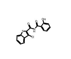 O=C(NC(=O)c1sc2ccccc2c1Cl)c1ccccc1O